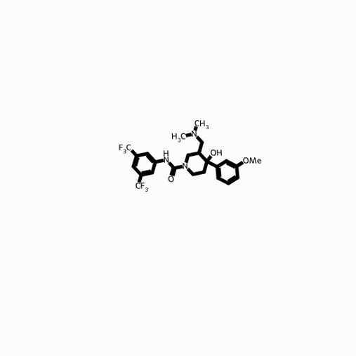 COc1cccc(C2(O)CCN(C(=O)Nc3cc(C(F)(F)F)cc(C(F)(F)F)c3)CC2CN(C)C)c1